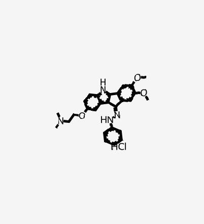 COc1cc2c(cc1OC)-c1[nH]c3ccc(OCCN(C)C)cc3c1/C2=N\Nc1ccccc1.Cl